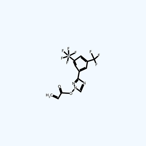 C=CC(=O)On1cnc(-c2cc(C(F)(F)F)cc(S(F)(F)(F)(F)F)c2)n1